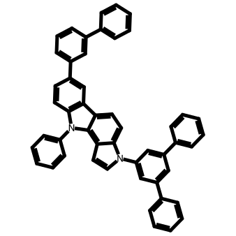 c1ccc(-c2cccc(-c3ccc4c(c3)c3ccc5c(ccn5-c5cc(-c6ccccc6)cc(-c6ccccc6)c5)c3n4-c3ccccc3)c2)cc1